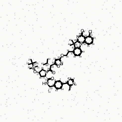 Cc1ncsc1-c1ccc([C@H](C)NC(=O)[C@@H]2C[C@@H](O[Si](C)(C)C(C)(C)C)CN2C(=O)[C@@H](c2cc(OCCc3cccc4c3C(C)(C)c3nc(=O)c5c(Cl)cccc5n3-4)no2)C(C)C)cc1